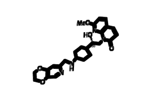 COc1ccc2ccc(=O)n(C[C@@H](O)C3CCC(NCc4cc5c(cn4)OCCO5)CC3)c2n1